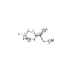 C[C@@H]1CCN(C(=O)CC#N)CN1